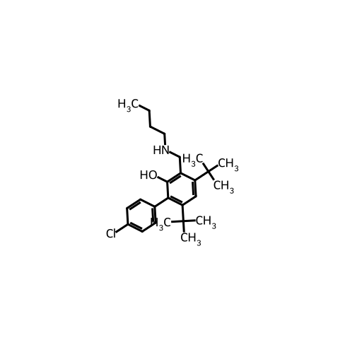 CCCCNCc1c(C(C)(C)C)cc(C(C)(C)C)c(-c2ccc(Cl)cc2)c1O